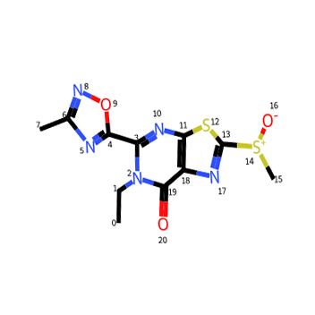 CCn1c(-c2nc(C)no2)nc2sc([S+](C)[O-])nc2c1=O